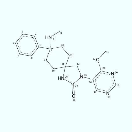 CNC1(c2ccccc2)CCC2(CC1)CN(c1cncnc1OC)C(=O)N2